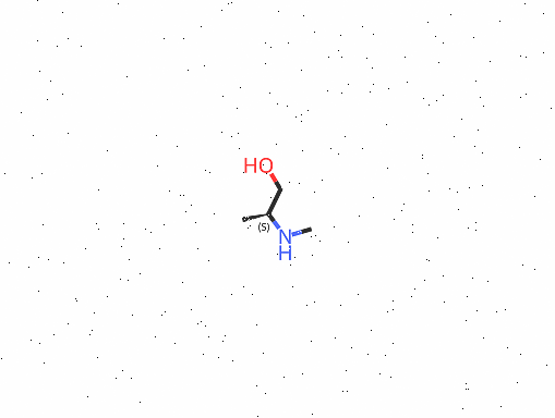 CN[C@@H](C)CO